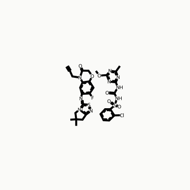 C#CCN1C(=O)COc2cc(F)c(/N=c3\snc4n3CC(C)(C)C4)cc21.COc1nc(C)nc(NC(=O)NS(=O)(=O)c2ccccc2Cl)n1